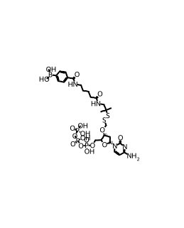 CC(C)(CNC(=O)CCCCNC(=O)c1ccc(B(O)O)cc1)SSCO[C@@H]1C[C@H](n2ccc(N)nc2=O)OC1COP(=O)(O)OP(=O)(O)OP(=O)(O)O